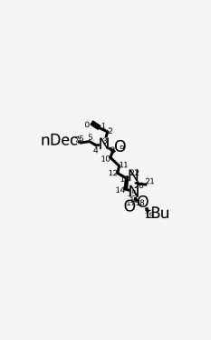 C#CCN(CCCCCCCCCCCCC)C(=O)CCCc1cn(C(=O)OC(C)(C)C)c(C)n1